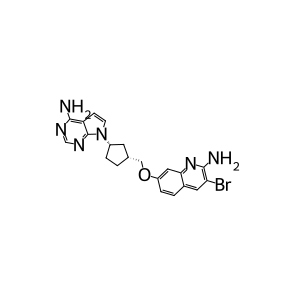 Nc1nc2cc(OC[C@@H]3CC[C@H](n4ccc5c(N)ncnc54)C3)ccc2cc1Br